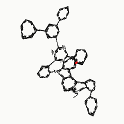 c1ccc(-c2cc(-c3ccccc3)cc(-c3nc(-c4ccccc4)nc(-c4ccccc4-n4c5ccccc5c5c6c(ccc54)sc4c(-c5ccccc5)cccc46)n3)c2)cc1